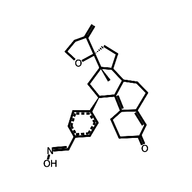 C=C1CCO[C@@]12CCC1C3CCC4=CC(=O)CCC4=C3[C@@H](c3ccc(C=NO)cc3)C[C@@]12C